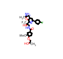 COc1cc(C(=O)NCC(O)(c2nc(-c3ccc(F)cc3)cc3c2OC(C)(N)C3)C(F)(F)F)ccc1OC[C@@H](C)O